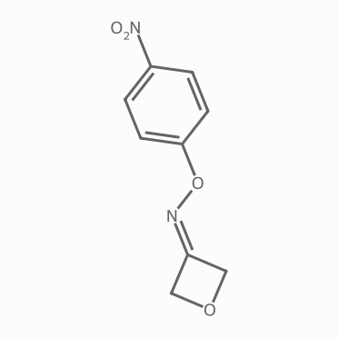 O=[N+]([O-])c1ccc(ON=C2COC2)cc1